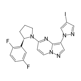 Fc1ccc(F)c([C@H]2CCCN2c2ccn3ncc(-n4cc(I)cn4)c3n2)c1